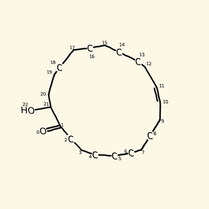 O=C1CCCCCCCCC=CCCCCCCCCCC1O